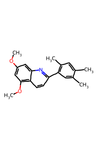 COc1cc(OC)c2ccc(-c3cc(C)c(C)cc3C)nc2c1